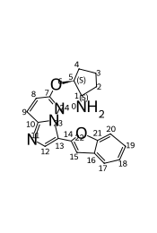 N[C@H]1CCC[C@@H]1Oc1ccc2ncc(-c3cc4ccccc4o3)n2n1